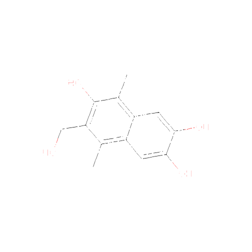 Cc1c(O)c([C@@H](C)O)c(C)c2cc(O)c(O)cc12